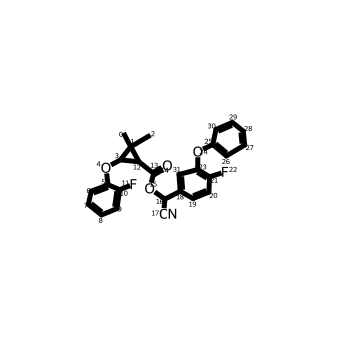 CC1(C)C(Oc2ccccc2F)C1C(=O)OC(C#N)c1ccc(F)c(Oc2ccccc2)c1